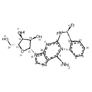 CC[C@H](Nc1nc(N)c2ncn([C@@H]3O[C@H](CO)[C@@H](O)[C@H]3O)c2n1)c1ccccc1